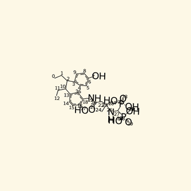 CCC(c1ccc(O)cc1)C(CC)c1ccc(O)c(NC(=O)CC(C)(C)NC(P(=O)(O)O)P(=O)(O)O)c1